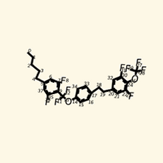 CCCCCc1cc(F)c(C(F)(F)Oc2ccc(CCc3cc(F)c(OC(F)(F)F)c(F)c3)cc2)c(F)c1